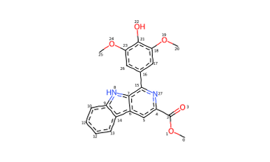 COC(=O)c1cc2c([nH]c3ccccc32)c(-c2cc(OC)c(O)c(OC)c2)n1